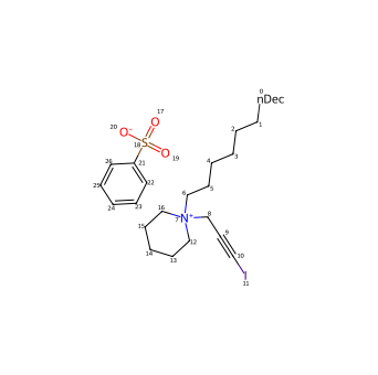 CCCCCCCCCCCCCCCC[N+]1(CC#CI)CCCCC1.O=S(=O)([O-])c1ccccc1